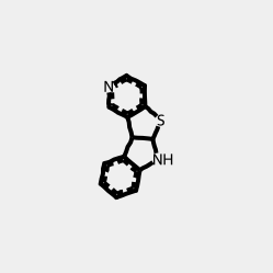 c1ccc2c(c1)NC1Sc3ccncc3C21